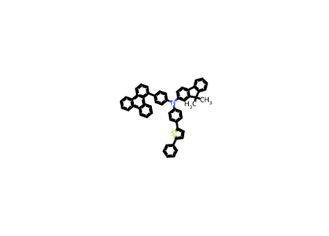 CC1(C)c2ccccc2-c2ccc(N(c3ccc(-c4ccc(-c5ccccc5)s4)cc3)c3ccc(-c4cccc5c6ccccc6c6ccccc6c45)cc3)cc21